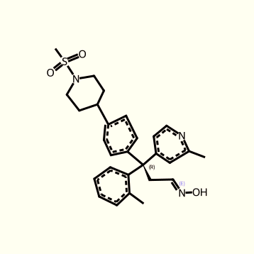 Cc1cc([C@@](C/C=N/O)(c2ccc(C3CCN(S(C)(=O)=O)CC3)cc2)c2ccccc2C)ccn1